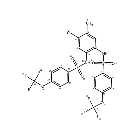 Cc1cc(NS(=O)(=O)c2ccc(OC(F)(F)F)cc2)c(NS(=O)(=O)c2ccc(OC(F)(F)F)cc2)cc1Cl